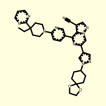 CCC1(c2ncccn2)CCN(c2ccc(-c3nc(-c4cnn(C5CCC6(CC5)OCCO6)c4)cn4ncc(C#N)c34)cn2)CC1